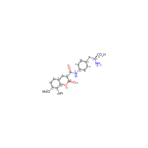 CCCc1c(OC)ccc2cc(C(=O)Nc3ccc(C[C@H](N)C(=O)O)cc3)c(=O)oc12